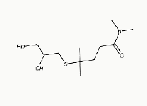 CN(C)C(=O)CCC(C)(C)SCC(O)CO